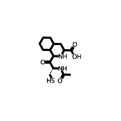 CC(=O)N[C@H](CS)C(=O)C1NC(C(=O)O)CC2CCCCC21